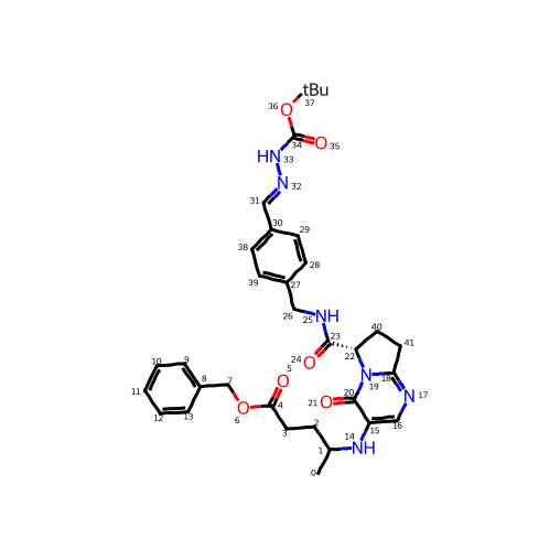 CC(CCC(=O)OCc1ccccc1)Nc1cnc2n(c1=O)[C@H](C(=O)NCc1ccc(C=NNC(=O)OC(C)(C)C)cc1)CC2